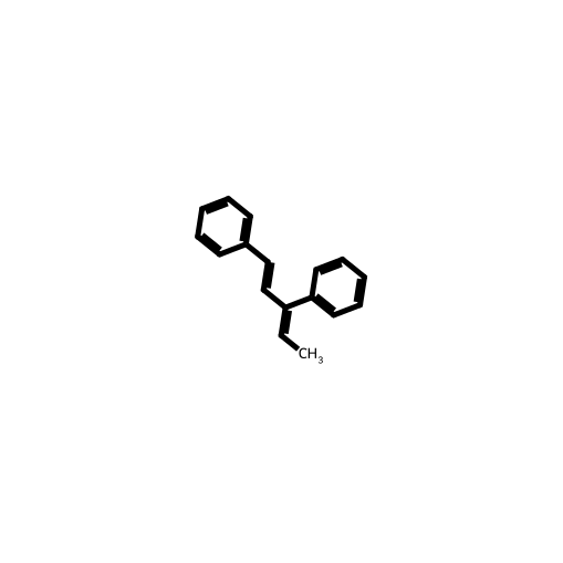 C/C=C(/C=C/c1ccccc1)c1ccccc1